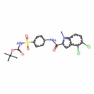 Cn1c(C(=O)Nc2ccc(S(=O)(=O)NC(=O)OC(C)(C)C)cc2)cc2c(Cl)c(Cl)ccc21